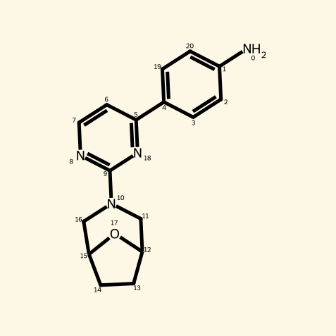 Nc1ccc(-c2ccnc(N3CC4CCC(C3)O4)n2)cc1